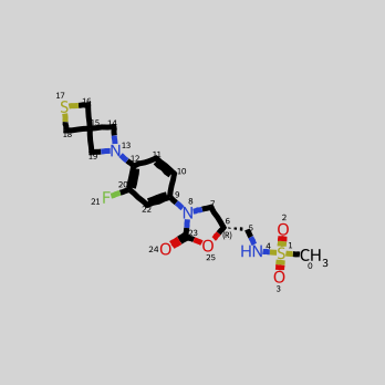 CS(=O)(=O)NC[C@H]1CN(c2ccc(N3CC4(CSC4)C3)c(F)c2)C(=O)O1